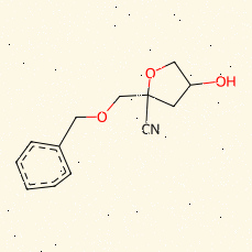 N#CC1(COCc2ccccc2)CC(O)CO1